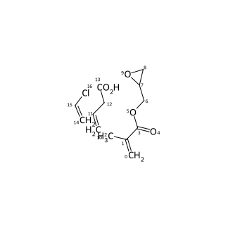 C=C(C)C(=O)OCC1CO1.C=CCC(=O)O.C=CCl